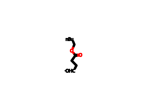 CCCCCOC(=O)CC[C]=O